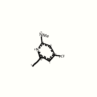 CNc1cc(Cl)cc(C)n1